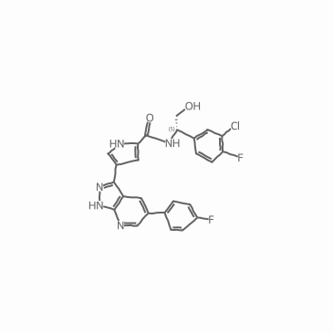 O=C(N[C@H](CO)c1ccc(F)c(Cl)c1)c1cc(-c2n[nH]c3ncc(-c4ccc(F)cc4)cc23)c[nH]1